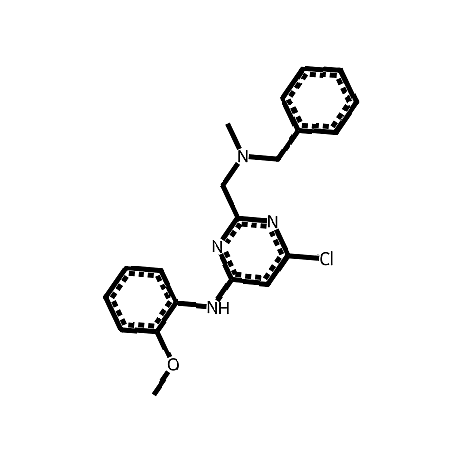 COc1ccccc1Nc1cc(Cl)nc(CN(C)Cc2ccccc2)n1